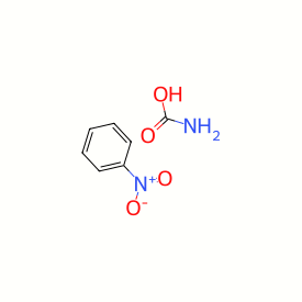 NC(=O)O.O=[N+]([O-])c1ccccc1